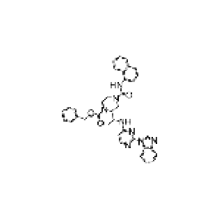 CC(Nc1ccnc(-n2cnc3ccccc32)n1)C1CN(C(=O)Nc2cccc3ccccc23)CCN1C(=O)OCc1ccccc1